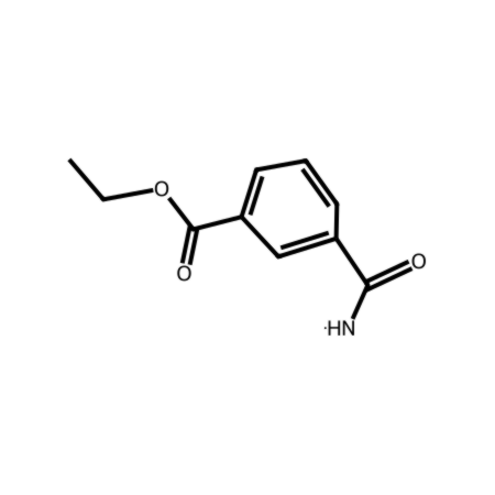 CCOC(=O)c1cccc(C([NH])=O)c1